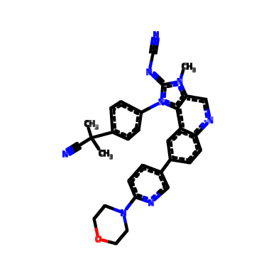 Cn1c(=NC#N)n(-c2ccc(C(C)(C)C#N)cc2)c2c3cc(-c4ccc(N5CCOCC5)nc4)ccc3ncc21